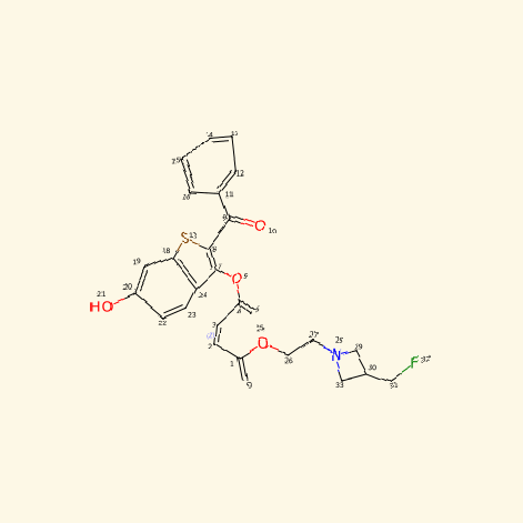 C=C(/C=C\C(=C)Oc1c(C(=O)c2ccccc2)sc2cc(O)ccc12)OCCN1CC(CF)C1